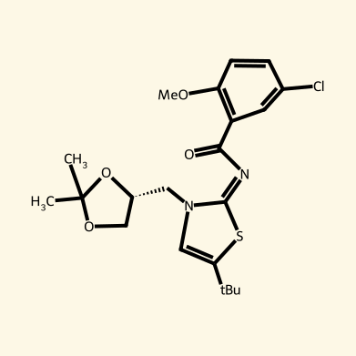 COc1ccc(Cl)cc1C(=O)N=c1sc(C(C)(C)C)cn1C[C@@H]1COC(C)(C)O1